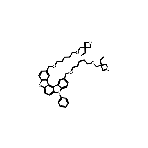 CCC1(COCCCCCOCc2ccc3sc4ccc5c(c6cc(COCCCCCOCC7(CC)COC7)ccc6n5-c5ccccc5)c4c3c2)COC1